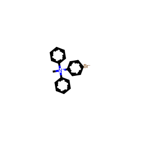 C[N+](c1ccccc1)(c1ccccc1)c1ccccc1.[Br-]